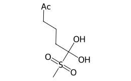 CC(=O)CCCC(O)(O)S(C)(=O)=O